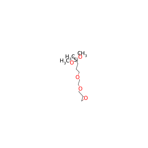 CO[Si](C)(CCCOCCOCC1CO1)OC